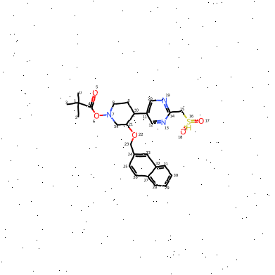 CC(C)(C)C(=O)ON1CCC(c2cnc(C[SH](=O)=O)nc2)C(OCc2ccc3ccccc3c2)C1